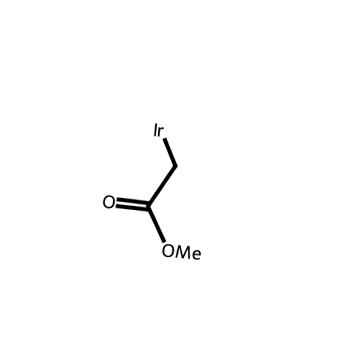 COC(=O)[CH2][Ir]